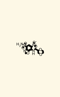 NS(=O)(=O)c1cc([N+](=O)[O-])c(NCC2COCCO2)c2ocnc12